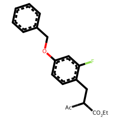 CCOC(=O)C(Cc1ccc(OCc2ccccc2)cc1F)C(C)=O